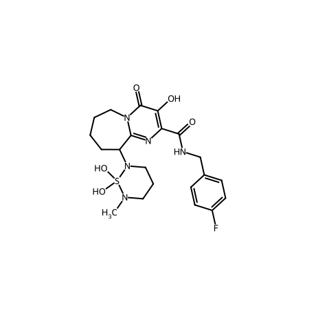 CN1CCCN(C2CCCCn3c2nc(C(=O)NCc2ccc(F)cc2)c(O)c3=O)S1(O)O